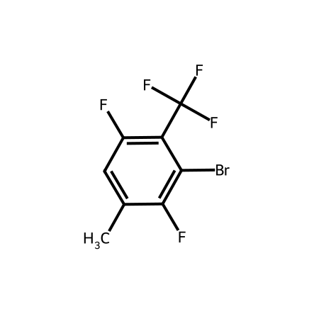 Cc1cc(F)c(C(F)(F)F)c(Br)c1F